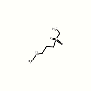 CCS(=O)(=O)CCCNC